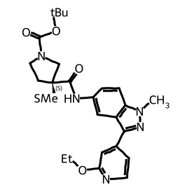 CCOc1cc(-c2nn(C)c3ccc(NC(=O)[C@]4(SC)CCN(C(=O)OC(C)(C)C)C4)cc23)ccn1